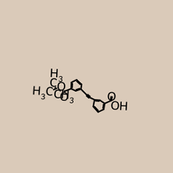 CC(C)(C)OC(=O)c1cccc(C#Cc2cccc(C(=O)O)c2)c1